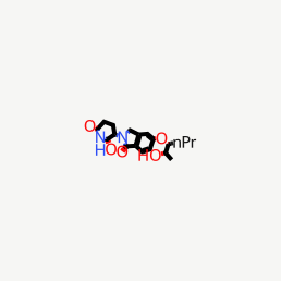 CCCC(Oc1ccc2c(c1)CN(C1CCC(=O)NC1=O)C2=O)C(C)O